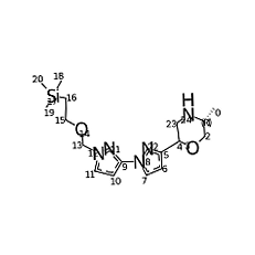 C[C@@H]1COC(c2ccn(-c3ccn(COCC[Si](C)(C)C)n3)n2)CN1